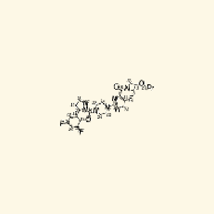 CC(C)OC1CN(C(=O)c2nc(N3CCN(C(=O)N4N=CCC4c4cc(F)cc(F)c4)CC3)ncc2F)C1